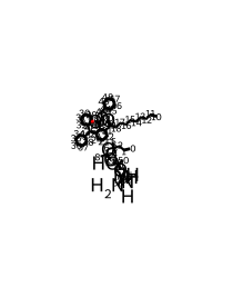 C=CCC(C)(C)OC(C)=O.C=CCCCCCCCC(=O)c1cccc(C(c2ccccc2)c2ccccc2)c1C(=O)OCc1ccccc1.CC(=O)O.[2H]NC(=N)N